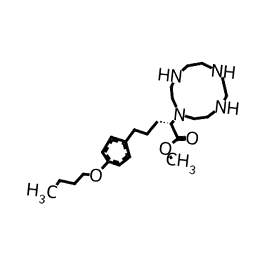 CCCCOc1ccc(CCC[C@@H](C(=O)OC)N2CCNCCNCCNCC2)cc1